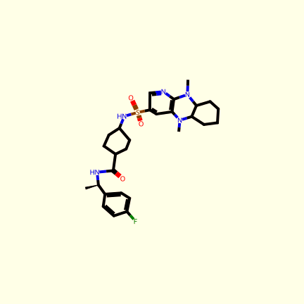 C[C@@H](NC(=O)C1CCC(NS(=O)(=O)c2cnc3c(c2)N(C)C2CCCCC2N3C)CC1)c1ccc(F)cc1